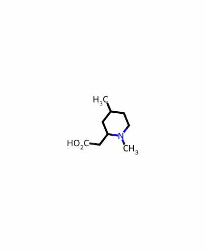 CC1CCN(C)C(CC(=O)O)C1